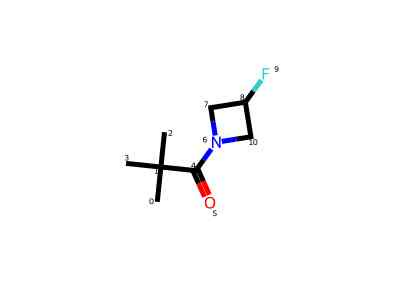 CC(C)(C)C(=O)N1CC(F)C1